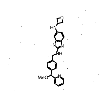 COC(c1ccc(CNc2nc3ccc(NC4COC4)cc3[nH]2)cc1)c1ccccn1